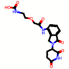 O=C(O)NCCOCC(=O)Nc1cccc2c1CN(C1CCC(=O)NC1=O)C2=O